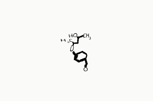 CC(O)CC(C)Oc1ccc(C=O)cc1